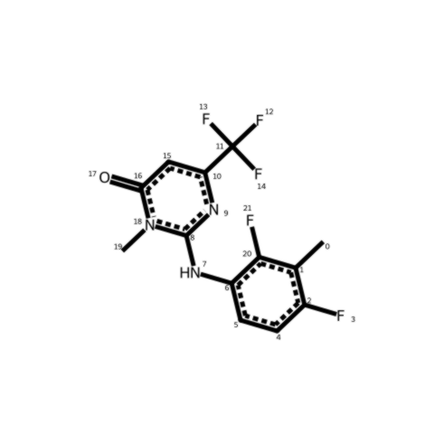 Cc1c(F)ccc(Nc2nc(C(F)(F)F)cc(=O)n2C)c1F